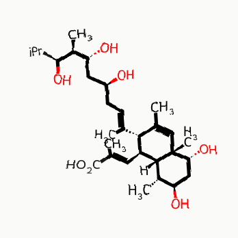 CC1=C[C@@]2(C)[C@H]([C@@H](C)[C@H](O)C[C@H]2O)[C@@H](/C=C(\C)C(=O)O)[C@@H]1/C(C)=C/C[C@H](O)C[C@@H](O)[C@H](C)[C@@H](O)C(C)C